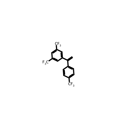 C=C(c1ccc(C(F)(F)F)cc1)c1cc(C(F)(F)F)cc(C(F)(F)F)c1